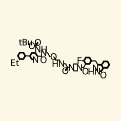 CCc1cccc(-c2cnc(C(=O)N(C)CCOCCNCC(=O)N3CCN(C(=O)c4cc(Cc5n[nH]c(=O)c6ccccc56)ccc4F)CC3)c(NC(=O)OC(C)(C)C)c2)c1